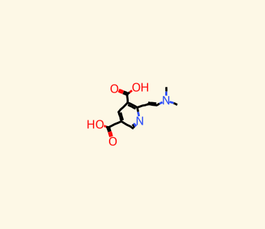 CN(C)C=Cc1ncc(C(=O)O)cc1C(=O)O